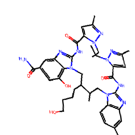 CCn1nc(C)cc1C(=O)Nc1nc2cc(C(N)=O)ccc2n1CC(C)C(CCCCO)Cn1c(NC(=O)c2cc(C)nn2CC)nc2cc(C(N)=O)cc(O)c21